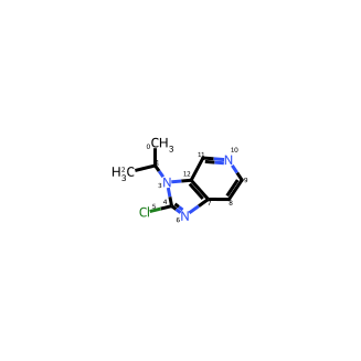 CC(C)n1c(Cl)nc2ccncc21